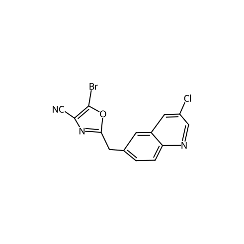 N#Cc1nc(Cc2ccc3ncc(Cl)cc3c2)oc1Br